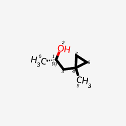 C[C@H](O)CC1(C)CC1